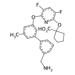 Cc1cc(Oc2nc(OC3(C(=O)O)CCCC3)c(F)cc2F)cc(-c2cccc(CN)c2)c1